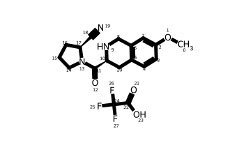 COc1ccc2c(c1)CN[C@H](C(=O)N1CCC[C@H]1C#N)C2.O=C(O)C(F)(F)F